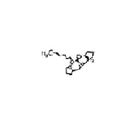 CCCCCCOC(=O)N(Cc1cccs1)Cc1cccs1